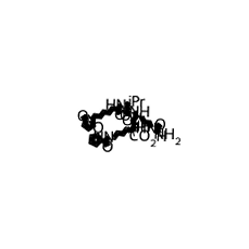 CC(C)C(NC(=O)CCCCCN1C(=O)C=CC1=O)C(=O)N[C@@H](CCCNC(N)=O)C(=O)N[C@@H](CCCCNC(=O)C1CCCC1)C(=O)O